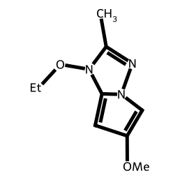 CCOn1c(C)nn2cc(OC)cc12